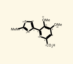 CNc1nc(-c2nc(C(=O)O)cc(OC)c2OC)cs1